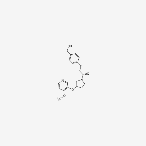 O=C(COc1ccc(CO)cc1)N1CCC(Oc2cnccc2OC(F)(F)F)C1